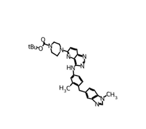 Cc1cc(Nc2ncnc3ccc(N4CCN(C(=O)OC(C)(C)C)CC4)nc23)ccc1Cc1ccc2c(c1)ncn2C